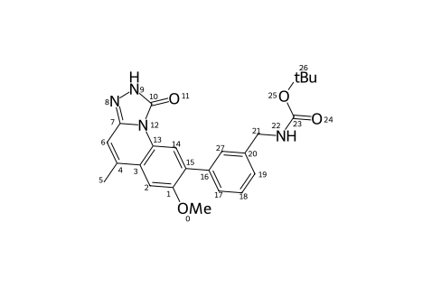 COc1cc2c(C)cc3n[nH]c(=O)n3c2cc1-c1cccc(CNC(=O)OC(C)(C)C)c1